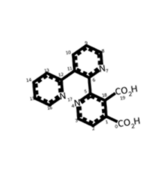 O=C(O)c1ccnc(-c2ncccc2-c2ccccn2)c1C(=O)O